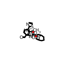 CC(C)(C)OC(=O)N1C2CCCC1CN(c1nc3c(C=O)ccc(-c4nccs4)c3o1)C2